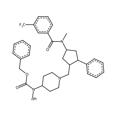 CCCN(C(=O)OCc1ccccc1)C1CCN(CC2CC(N(C)C(=O)c3cccc(C(F)(F)F)c3)CC2c2ccccc2)CC1